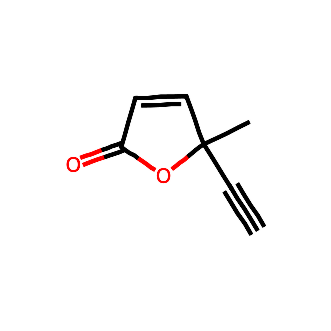 C#CC1(C)C=CC(=O)O1